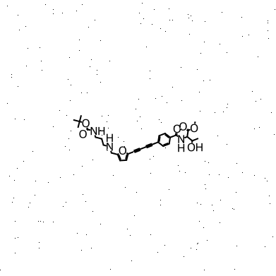 COC(=O)C(NC(=O)c1ccc(C#CC#Cc2ccc(CNCCCNC(=O)OC(C)(C)C)o2)cc1)C(C)O